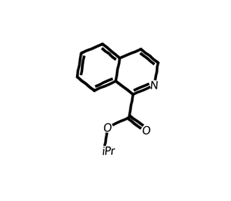 CC(C)OC(=O)c1nccc2ccccc12